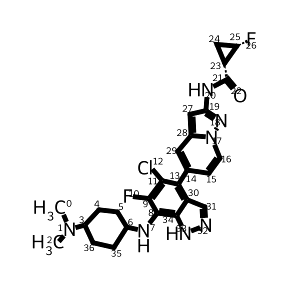 CN(C)C1CCC(Nc2c(F)c(Cl)c(-c3ccn4nc(NC(=O)[C@@H]5C[C@@H]5F)cc4c3)c3cn[nH]c23)CC1